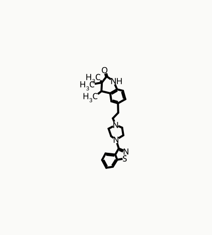 CC1c2cc(CCN3CCN(c4nsc5ccccc45)CC3)ccc2NC(=O)C1(C)C